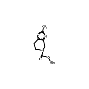 CC(C)(C)OC(=O)N1CCc2sc(C(F)(F)F)nc2C1